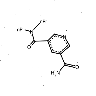 CCCN(CCC)C(=O)c1cncc(C(N)=O)c1